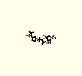 CSN1CC(=O)C(NC(C)CC(C)(C)N2CCC(NC(C)C)C2)C1